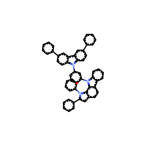 c1ccc(-c2ccc3c(c2)c2cc(-c4ccccc4)ccc2n3-c2cccc(-n3c4ccccc4c4ccc5cc(-c6ccccc6)n(-c6ccccc6)c5c43)c2)cc1